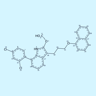 O=C(O)Oc1[nH]c2c(-c3ccc(Cl)cc3Cl)cccc2c1CCCOc1cccc2ccccc12